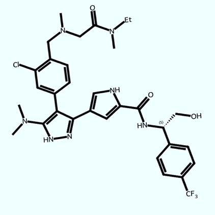 CCN(C)C(=O)CN(C)Cc1ccc(-c2c(-c3c[nH]c(C(=O)N[C@H](CO)c4ccc(C(F)(F)F)cc4)c3)n[nH]c2N(C)C)cc1Cl